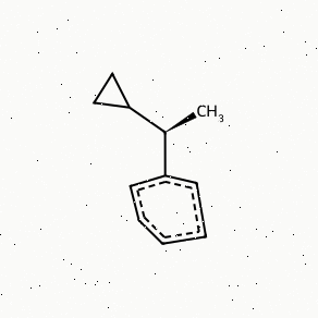 C[C@@H](c1ccccc1)C1CC1